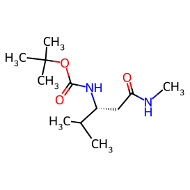 CNC(=O)C[C@@H](NC(=O)OC(C)(C)C)C(C)C